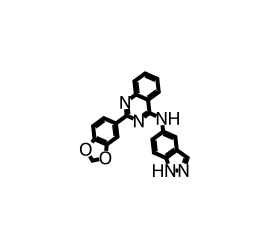 c1ccc2c(Nc3ccc4[nH]ncc4c3)nc(-c3ccc4c(c3)OCO4)nc2c1